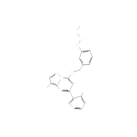 COBNc1cccc(CNc2cc(-c3ccccc3Cl)nc3c(Br)cnn23)c1